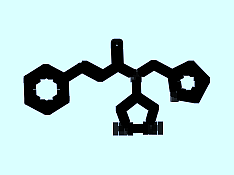 O=C(/C=C/c1ccccc1)N(Cc1cccs1)C1CNNC1